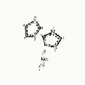 [F].[Mn].[Zn].c1cscn1.c1cscn1